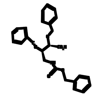 O=C(NC[C@@H](OCc1ccccc1)[C@H](OCc1ccccc1)C(=O)O)OCc1ccccc1